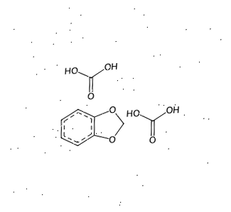 O=C(O)O.O=C(O)O.c1ccc2c(c1)OCO2